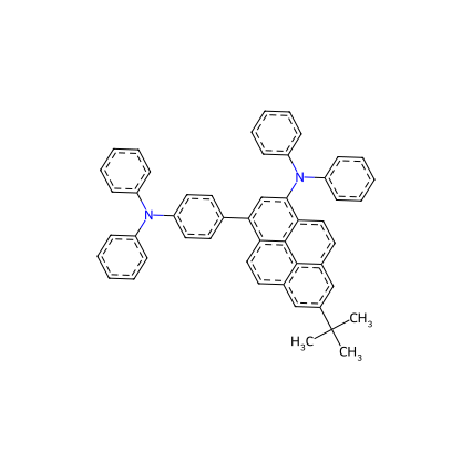 CC(C)(C)c1cc2ccc3c(-c4ccc(N(c5ccccc5)c5ccccc5)cc4)cc(N(c4ccccc4)c4ccccc4)c4ccc(c1)c2c34